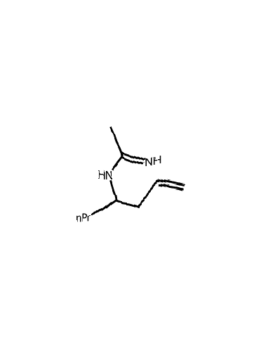 C=CCC(CCC)NC(C)=N